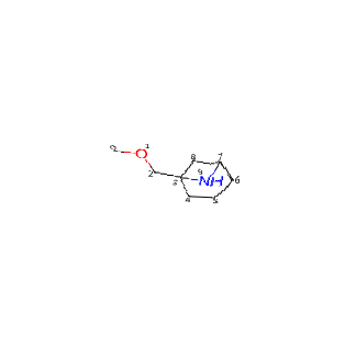 COCC12CCCC(C1)N2